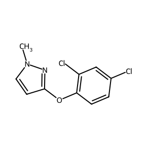 Cn1ccc(Oc2ccc(Cl)cc2Cl)n1